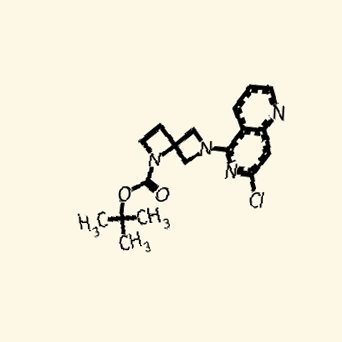 CC(C)(C)OC(=O)N1CCC12CN(c1nc(Cl)cc3ncccc13)C2